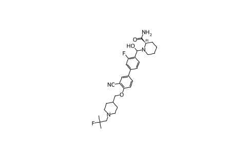 CC(C)(F)CN1CCC(COc2ccc(-c3ccc(C(O)N4CCCC[C@@H]4C(N)=O)c(F)c3)cc2C#N)CC1